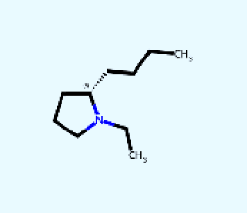 CCCC[C@H]1CCCN1CC